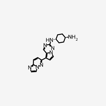 N[C@H]1CC[C@H](Nc2ncc3c(-c4ccc5nccn5n4)ccn3n2)CC1